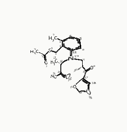 CC(=O)SCc1c(C)cccc1N(CCC(=O)C1=COCO1)[C@@H](C)C(=O)O